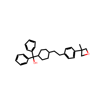 CC1(c2ccc(CCC3CCC(C(O)(c4ccccc4)c4ccccc4)CC3)cc2)COC1